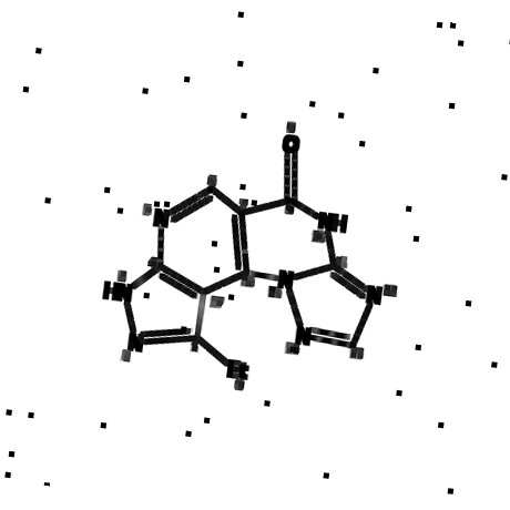 CCc1n[nH]c2ncc3c(=O)[nH]c4ncnn4c3c12